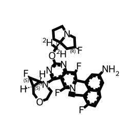 [2H]C([2H])(Oc1nc(N2CCOC[C@H]3[C@H](F)[C@H]32)c2c(F)nc(-c3cc(N)cc4ccc(F)c(C#C)c34)c(F)c2n1)[C@@]12CCCN1C[C@H](F)C2